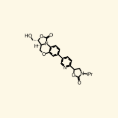 CC(C)N1CC(c2ccc(-c3ccc4c(c3)OC[C@H]3[C@H](CO)OC(=O)N43)cn2)OC1=O